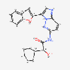 O=C(Nc1ccc2ncc(-c3cc4ccccc4o3)n2n1)C(O)C1CCCCC1